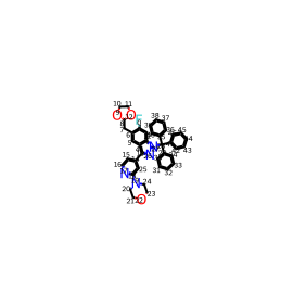 Fc1cc2c(cc1CC1OCCO1)c(-c1ccnc(N3CCOCC3)c1)nn2C(c1ccccc1)(c1ccccc1)c1ccccc1